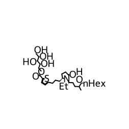 CCCCCC[C@H](O)C(C)CC[C@H](CC)N1C(=O)CC[C@@H]1CCCc1ccc(C(=O)OC[C@@H](O)[C@H](O)[C@H](O)CO)s1